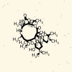 CC[C@H]1OC(=O)C(C)C(=O)[C@H](C)[C@@H](O[C@@H]2O[C@H](C(O)CN(C)C(C)C)CC(N(C)C)C2O)[C@](C)(OC)C[C@@H](C)CN[C@H](C)[C@H]2NC(=O)O[C@@]21C